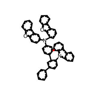 c1ccc(-c2ccc(-n3c4ccccc4c4ccccc43)c(-c3ccc(N(c4ccc5oc6ccccc6c5c4)c4cccc5c4oc4ccccc45)cc3)c2)cc1